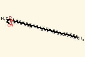 C=C(CC(=O)O)C(=O)OCCCCCCCCCCCCCCCCCCCCCCCCCCCCCCCCCCCCCCCC